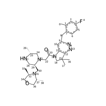 Cc1cc(F)ccc1Cc1cc2c(nn1)C(C)(C)CN2C(=O)CN1C[C@@H](C)NC[C@@H]1CN1[C@H](C)COC[C@H]1C